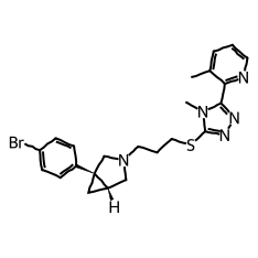 Cc1cccnc1-c1nnc(SCCCN2C[C@@H]3C[C@]3(c3ccc(Br)cc3)C2)n1C